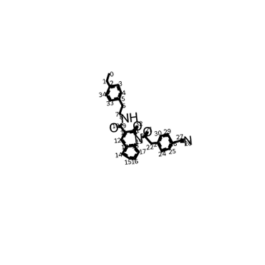 CCc1ccc(CCNC(=O)c2cc3ccccc3n(C(=O)Cc3ccc(C#N)cc3)c2=O)cc1